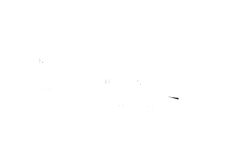 CC(C)(Cc1ccc(C(N)=O)cc1)N1C[C@@H](c2cccc(Cl)c2)OC1=O